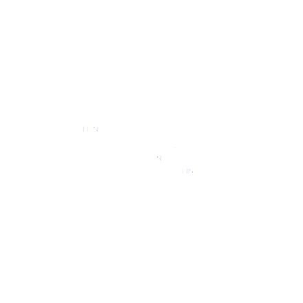 CN(C(=O)C1CCCN1)c1ccc(N)cc1